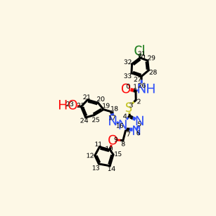 O=C(CSc1nnc(COc2ccccc2)n1N=Cc1ccc(O)cc1)Nc1ccc(Cl)cc1